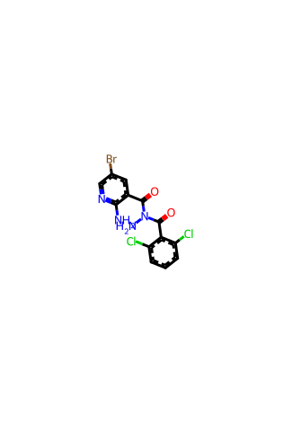 Nc1ncc(Br)cc1C(=O)N(N)C(=O)c1c(Cl)cccc1Cl